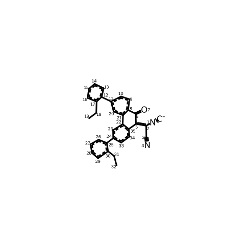 [C-]#[N+]/C(C#N)=C1\C(=O)c2ccc(-c3ccccc3CC)cc2-c2cc(-c3ccccc3CC)ccc21